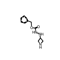 O=C(NNC1CNC1)OCc1ccccc1